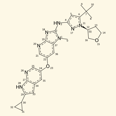 Cn1c(Nc2cc(C(C)(C)C)n([C@H]3CCOC3)n2)nc2ncc(Oc3cnc4[nH]c(C5CC5)cc4c3)cc21